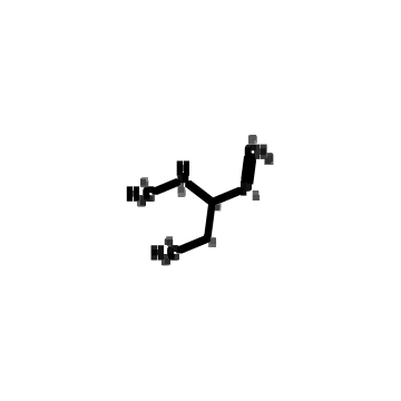 C=PC(CC)PC